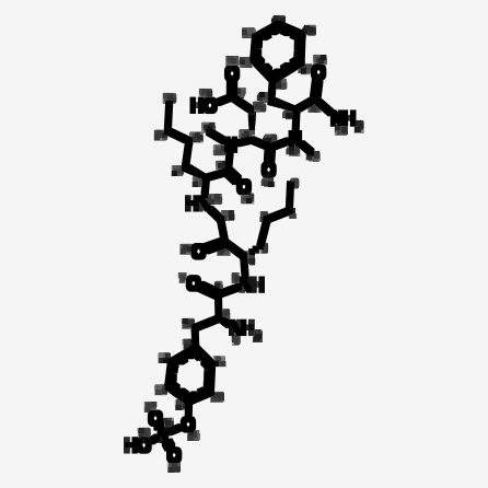 CCCC[C@H](NC(=O)[C@@H](N)Cc1ccc(OS(=O)(=O)O)cc1)C(=O)CN[C@@H](CCCC)C(=O)N(C)[C@H](CC(=O)O)C(=O)N(C)[C@@H](Cc1ccccc1)C(N)=O